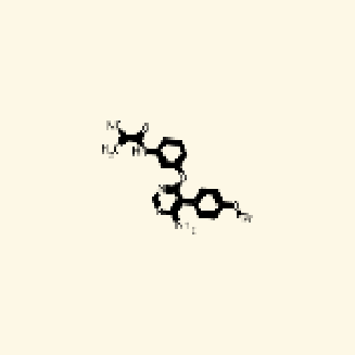 C=C(C#N)C(=O)Nc1cccc(Oc2ncnc(N)c2-c2ccc(OC(C)C)cc2)c1